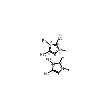 CCC1=CN(C)C(C)N1CC.CCc1cn(C)c(CC)[n+]1CC